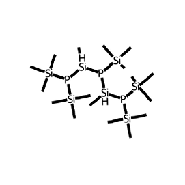 C[SiH](P([SiH](C)P([Si](C)(C)C)[Si](C)(C)C)[Si](C)(C)C)P([Si](C)(C)C)[Si](C)(C)C